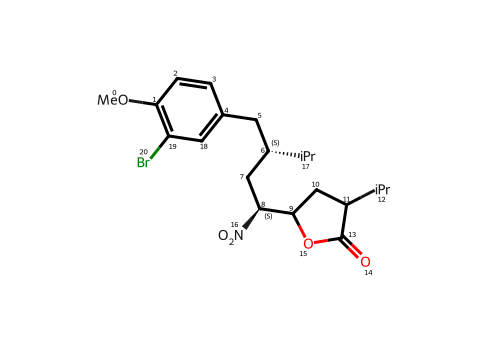 COc1ccc(C[C@@H](C[C@@H](C2CC(C(C)C)C(=O)O2)[N+](=O)[O-])C(C)C)cc1Br